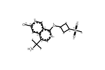 CC(C)(N)c1cnc(OC2CC(S(C)(=O)=O)C2)c2cnc(Cl)cc12